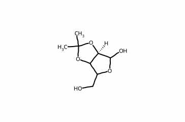 CC1(C)OC2C(CO)OC(O)[C@@H]2O1